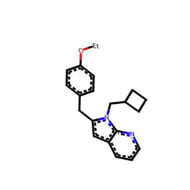 CCOc1ccc(Cc2cc3c[c]cnc3n2CC2CCC2)cc1